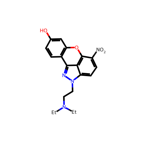 CCN(CC)CCn1nc2c3c(c([N+](=O)[O-])ccc31)Oc1cc(O)ccc1-2